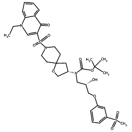 CCn1cc(S(=O)(=O)N2CCC3(CC2)C[C@H](N(C[C@H](O)COc2cccc(S(C)(=O)=O)c2)C(=O)OC(C)(C)C)CO3)c(=O)c2ccccc21